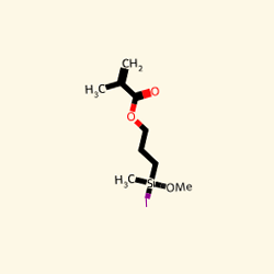 C=C(C)C(=O)OCCC[Si](C)(I)OC